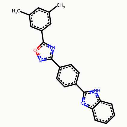 Cc1cc(C)cc(-c2nc(-c3ccc(-c4nc5ccccc5[nH]4)cc3)no2)c1